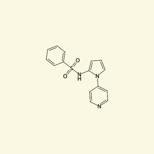 O=S(=O)(Nc1cccn1-c1ccncc1)c1ccccc1